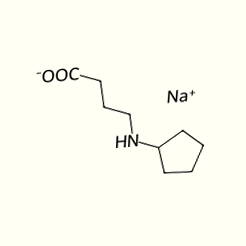 O=C([O-])CCCNC1CCCC1.[Na+]